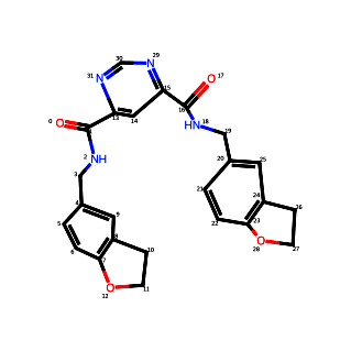 O=C(NCc1ccc2c(c1)CCO2)c1cc(C(=O)NCc2ccc3c(c2)CCO3)ncn1